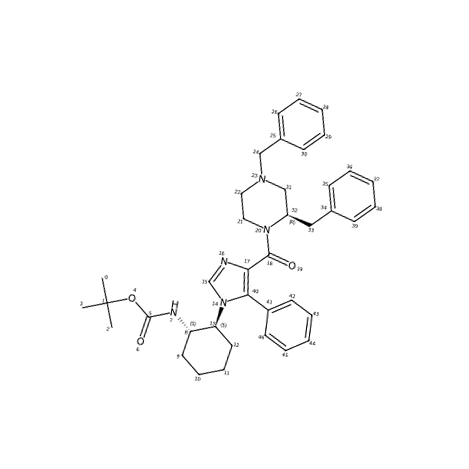 CC(C)(C)OC(=O)N[C@H]1CCCC[C@@H]1n1cnc(C(=O)N2CCN(Cc3ccccc3)C[C@H]2Cc2ccccc2)c1-c1ccccc1